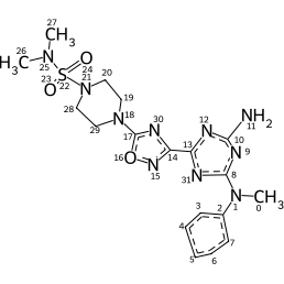 CN(c1ccccc1)c1nc(N)nc(-c2noc(N3CCN(S(=O)(=O)N(C)C)CC3)n2)n1